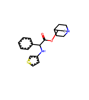 O=C(OC1CN2CCC1CC2)C(Nc1ccsc1)c1ccccc1